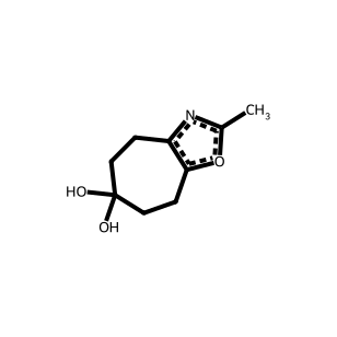 Cc1nc2c(o1)CCC(O)(O)CC2